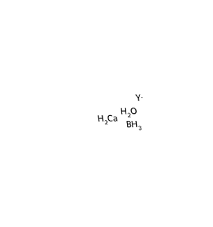 B.O.[CaH2].[Y]